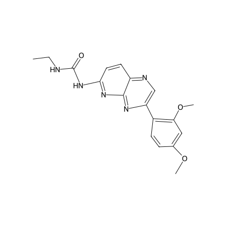 CCNC(=O)Nc1ccc2ncc(-c3ccc(OC)cc3OC)nc2n1